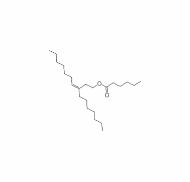 CCCCCCC=C(CCCCCCC)CCOC(=O)CCCCC